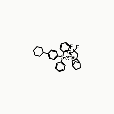 O=S(=O)(OS(c1ccccc1)(c1ccccc1)c1ccc(C2CCCCC2)cc1)C(F)(F)CC1CC2CCC1C2